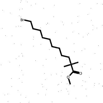 COC(=O)C(C)(C)CCCCCCCCCBr